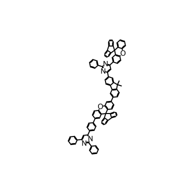 CC1(C)c2ccc(-c3ccc4c(c3)Oc3ccc(-c5ccc(-c6cc(-c7ccccc7)nc(-c7ccccc7)n6)cc5)cc3C43c4ccccc4-c4ccccc43)cc2-c2ccc(-c3cc(-c4ccc5c(c4)C4(c6ccccc6O5)c5ccccc5-c5ccccc54)nc(-c4ccccc4)n3)cc21